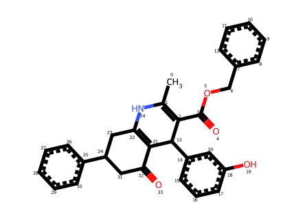 CC1=C(C(=O)OCc2ccccc2)C(c2cccc(O)c2)C2=C(CC(c3ccccc3)CC2=O)N1